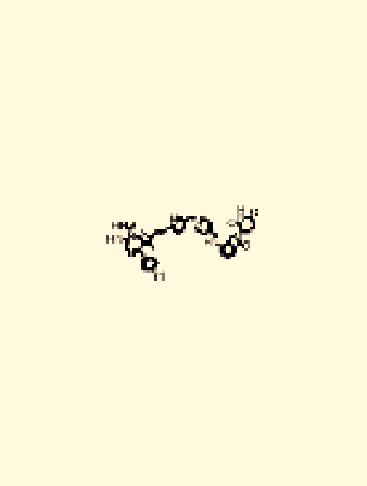 CC(=N)N1C(=N)CN=C(c2ccc(Cl)cc2)c2c1sc(C#Cc1ccc(CN3CCC(CNc4cccc5c4CN(C4CCC(=O)NC4=O)C5=O)CC3)cn1)c2C